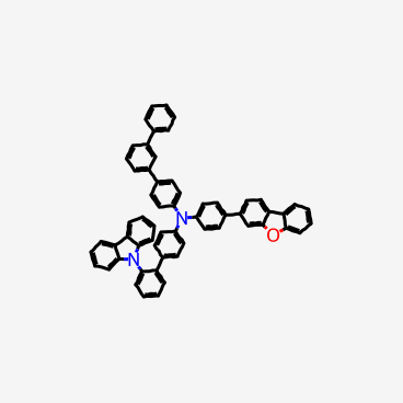 c1ccc(-c2cccc(-c3ccc(N(c4ccc(-c5ccc6c(c5)oc5ccccc56)cc4)c4ccc(-c5ccccc5-n5c6ccccc6c6ccccc65)cc4)cc3)c2)cc1